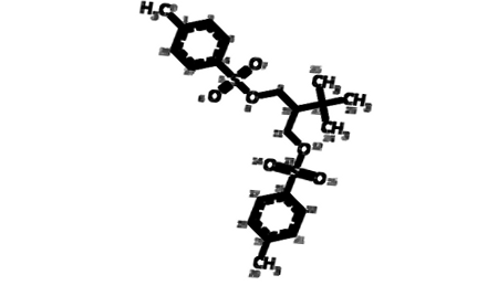 Cc1ccc(S(=O)(=O)OCC(COS(=O)(=O)c2ccc(C)cc2)C(C)(C)C)cc1